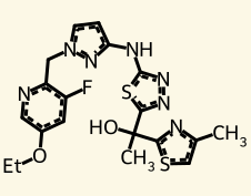 CCOc1cnc(Cn2ccc(Nc3nnc(C(C)(O)c4nc(C)cs4)s3)n2)c(F)c1